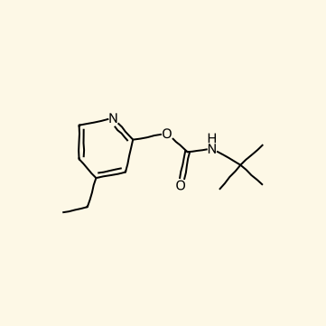 CCc1ccnc(OC(=O)NC(C)(C)C)c1